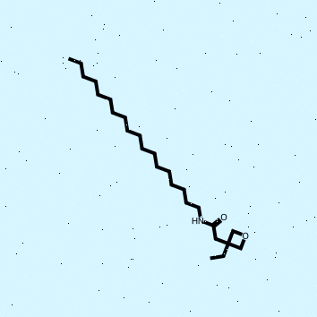 CCCCCCCCCCCCCCCCCCNC(=O)CC1(CC)COC1